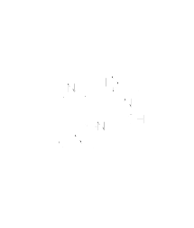 Cn1ccnc1CC(C)(N)Cc1nccn1C